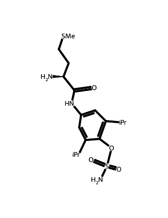 CSCC[C@H](N)C(=O)Nc1cc(C(C)C)c(OS(N)(=O)=O)c(C(C)C)c1